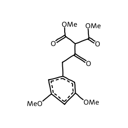 COC(=O)C(C(=O)Cc1cc(OC)cc(OC)c1)C(=O)OC